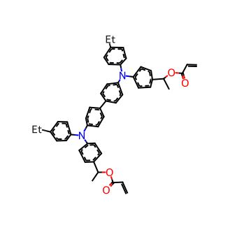 C=CC(=O)OC(C)c1ccc(N(c2ccc(CC)cc2)c2ccc(-c3ccc(N(c4ccc(CC)cc4)c4ccc(C(C)OC(=O)C=C)cc4)cc3)cc2)cc1